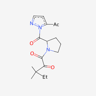 CCC(C)(C)C(=O)C(=O)N1CCCC1C(=O)n1nccc1C(C)=O